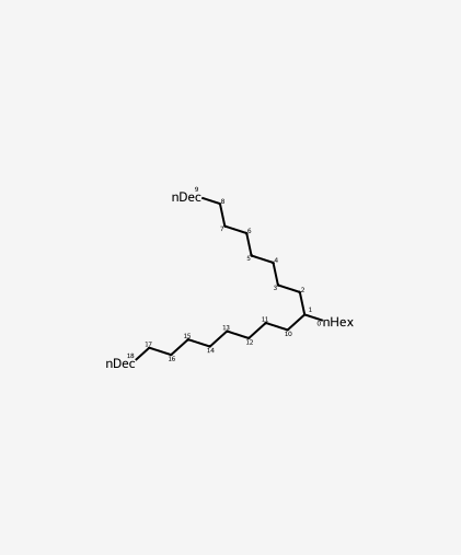 [CH2]CCCCCC(CCCCCCCCCCCCCCCCC)CCCCCCCCCCCCCCCCCC